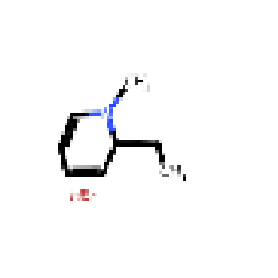 Br.CCC1C=CC=CN1C